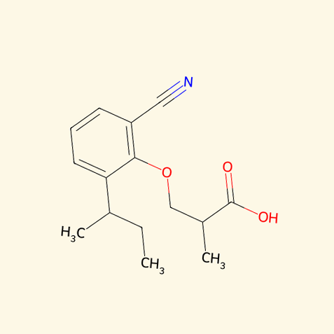 CCC(C)c1cccc(C#N)c1OCC(C)C(=O)O